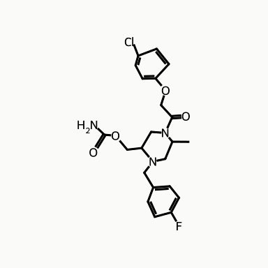 CC1CN(Cc2ccc(F)cc2)C(COC(N)=O)CN1C(=O)COc1ccc(Cl)cc1